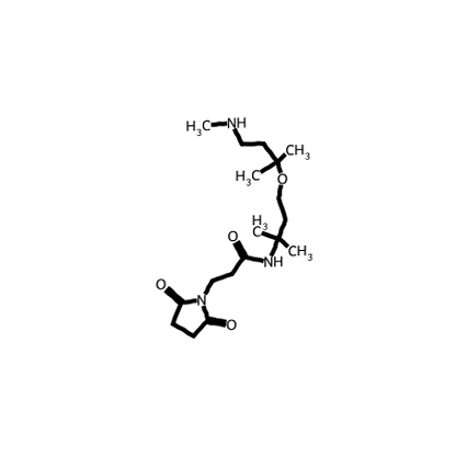 CNCCC(C)(C)OCCC(C)(C)NC(=O)CCN1C(=O)CCC1=O